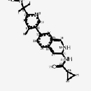 Cc1cc(C(C)(C)N=O)ncc1-c1ccc2c(c1)=CNC(NC(=O)C1CC1)C=2